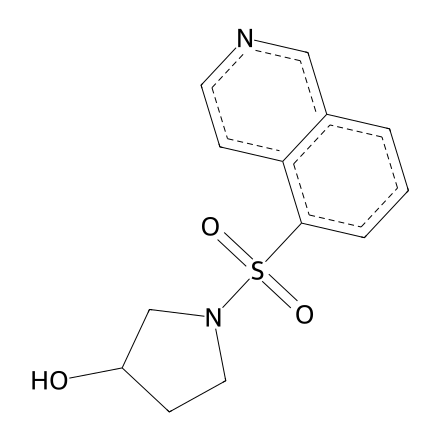 O=S(=O)(c1cccc2cnccc12)N1CCC(O)C1